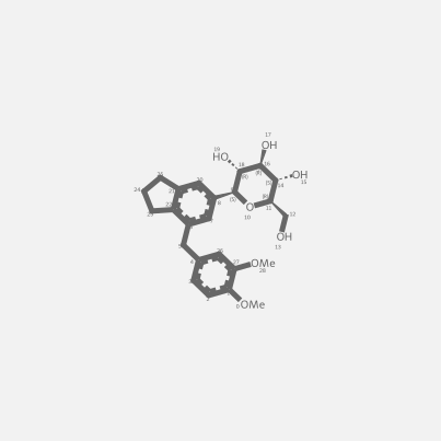 COc1ccc(Cc2cc([C@@H]3O[C@H](CO)[C@@H](O)[C@H](O)[C@H]3O)cc3c2CCC3)cc1OC